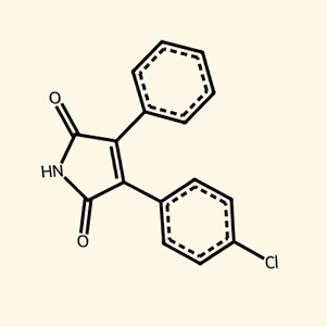 O=C1NC(=O)C(c2ccc(Cl)cc2)=C1c1ccccc1